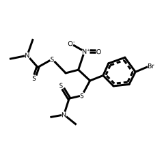 CN(C)C(=S)SCC(C(SC(=S)N(C)C)c1ccc(Br)cc1)[N+](=O)[O-]